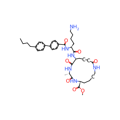 CCCCc1ccc(-c2ccc(C(=O)N[C@@H](CCCCN)C(=O)N[C@H]3CCCC(=O)NCCCC[C@@H](C(=O)OC)NC(=O)[C@H](C)NC3=O)cc2)cc1